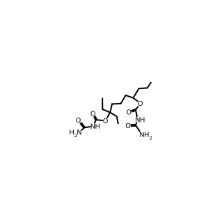 CCCC(CCCC(CC)(CC)OC(=O)NC(N)=O)OC(=O)NC(N)=O